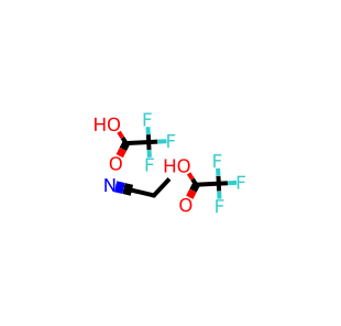 CCC#N.O=C(O)C(F)(F)F.O=C(O)C(F)(F)F